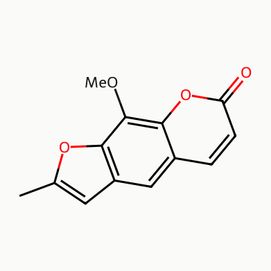 COc1c2oc(C)cc2cc2ccc(=O)oc12